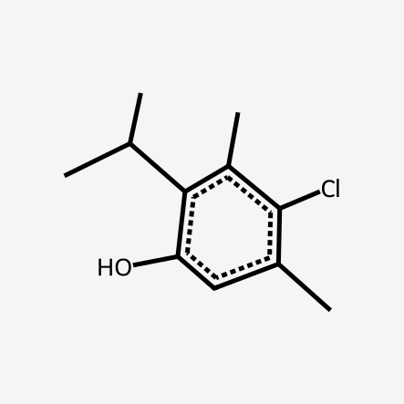 Cc1cc(O)c(C(C)C)c(C)c1Cl